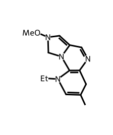 CCN1C=C(C)CC2=C1N1CN(OC)C=C1C=N2